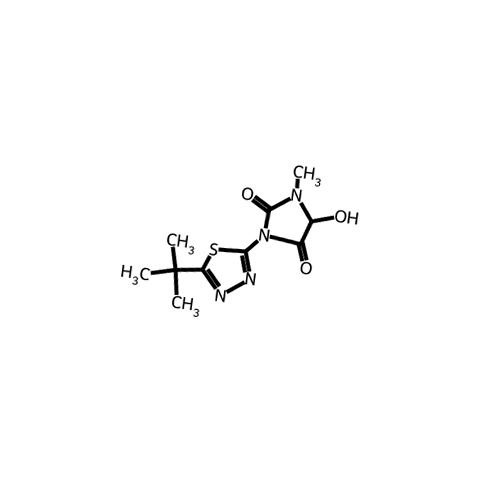 CN1C(=O)N(c2nnc(C(C)(C)C)s2)C(=O)C1O